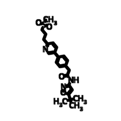 CC(C)(C)c1cc(NC(=O)Cc2ccc(-c3ccc(CCCS(C)(=O)=O)nc3)cc2)no1